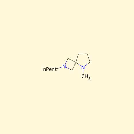 CCCCCN1CC2(CCCN2C)C1